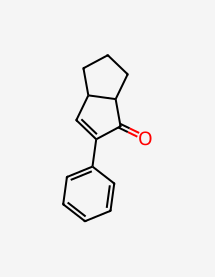 O=C1C(c2ccccc2)=CC2CCCC12